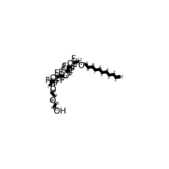 C=CCCCCCCCCCOCC(F)(F)OC(F)(F)C(F)(F)OC(F)(F)C(F)(F)OC(F)(F)COCCOCCO